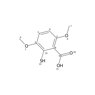 COc1ccc(OC)c(C(=O)O)c1S